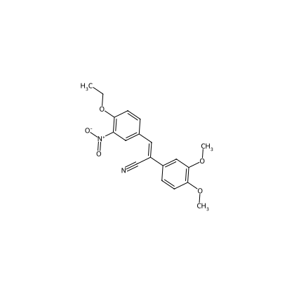 CCOc1ccc(C=C(C#N)c2ccc(OC)c(OC)c2)cc1[N+](=O)[O-]